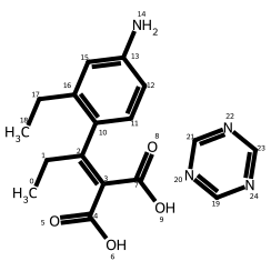 CCC(=C(C(=O)O)C(=O)O)c1ccc(N)cc1CC.c1ncncn1